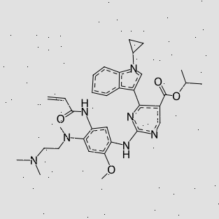 C=CC(=O)Nc1cc(Nc2ncc(C(=O)OC(C)C)c(-c3cn(C4CC4)c4ccccc34)n2)c(OC)cc1N(C)CCN(C)C